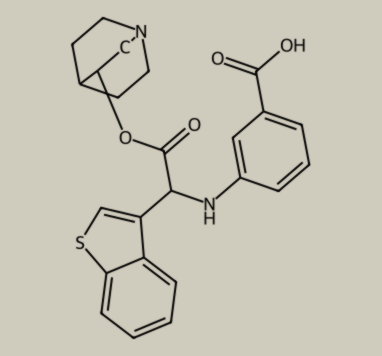 O=C(O)c1cccc(NC(C(=O)OC2CN3CCC2CC3)c2csc3ccccc23)c1